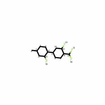 CC1CCC(C2CCC(C(F)F)C(F)C2)C(F)C1